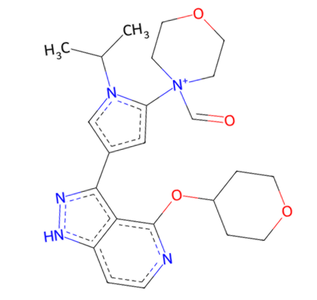 CC(C)n1cc(-c2n[nH]c3ccnc(OC4CCOCC4)c23)cc1[N+]1(C=O)CCOCC1